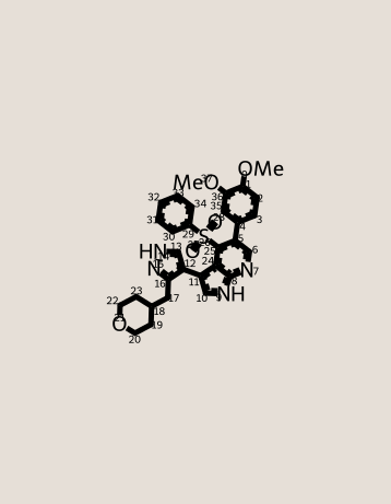 COc1ccc(-c2cnc3[nH]cc(-c4c[nH]nc4CC4CCOCC4)c3c2S(=O)(=O)c2ccccc2)cc1OC